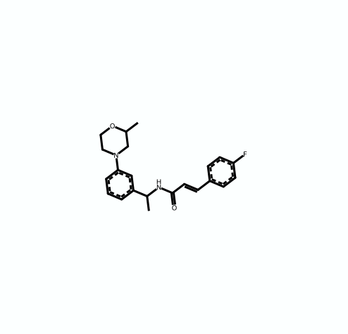 CC1CN(c2cccc(C(C)NC(=O)/C=C/c3ccc(F)cc3)c2)CCO1